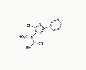 CC(C)(C)C(C#N)N(C(=O)O)c1cn(-c2cccnc2)nc1Cl